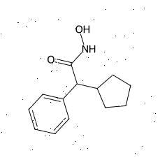 O=C(NO)C(c1ccccc1)C1CCCC1